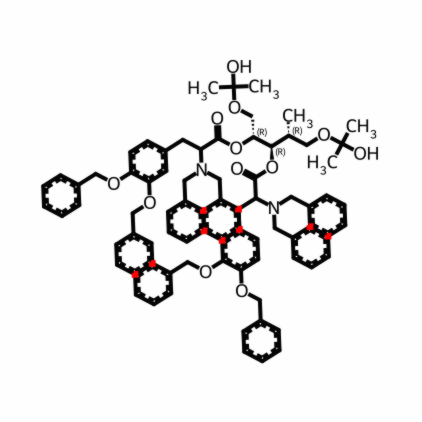 C[C@H](COC(C)(C)O)[C@@H](OC(=O)C(Cc1ccc(OCc2ccccc2)c(OCc2ccccc2)c1)N(Cc1ccccc1)Cc1ccccc1)[C@@H](COC(C)(C)O)OC(=O)C(Cc1ccc(OCc2ccccc2)c(OCc2ccccc2)c1)N(Cc1ccccc1)Cc1ccccc1